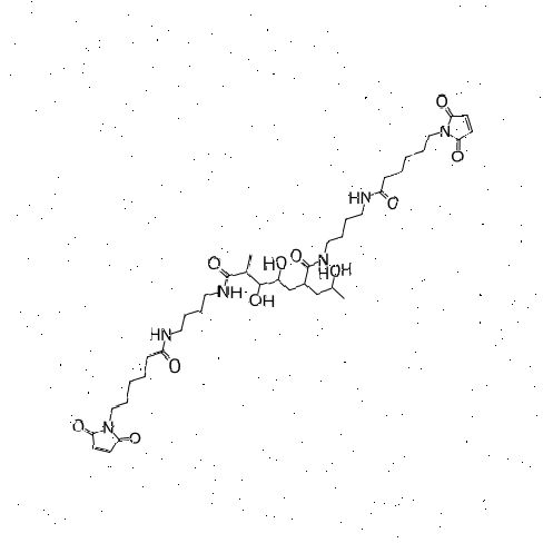 CC(O)CC(CC(O)C(O)C(C)C(=O)NCCCCNC(=O)CCCCCN1C(=O)C=CC1=O)C(=O)NCCCCNC(=O)CCCCCN1C(=O)C=CC1=O